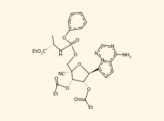 CCOC(=O)[C@H](C)NP(=O)(OC[C@@]1(C#N)O[C@@H](c2ccc3c(N)ncnn23)[C@H](OC(=O)CC)[C@@H]1OC(=O)CC)Oc1ccccc1